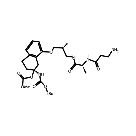 COC(=O)O[C@]1(NC(=O)OC(C)(C)C)CCc2cccc(OC[C@@H](C)CNC(=O)[C@H](C)NC(=O)CCN)c2C1